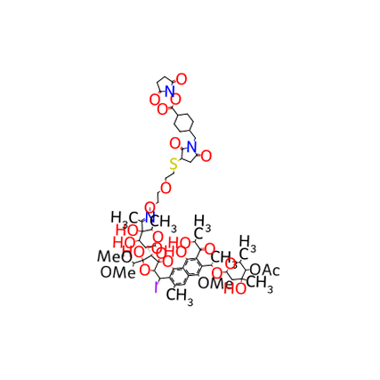 COc1c([C@H](C)OC2CC(C)(O)C(OC(C)=O)C(C)O2)c(C(=O)C(C)O)c(O)c2c3c(c(C)cc12)C(I)C1OC(O)(C(OC)OC)[C@]2(CO2)[C@]1(OC1CC(O)C(O)(/C(C)=N/OCCOCCSC2CC(=O)N(CC4CCC(C(=O)ON5C(=O)CCC5=O)CC4)C2=O)C(C)O1)O3